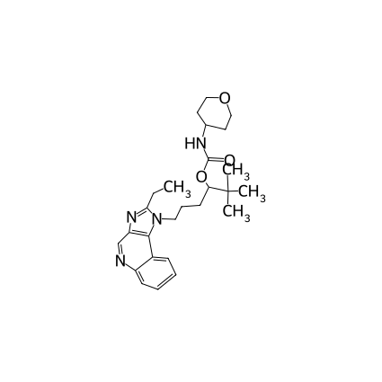 CCc1nc2cnc3ccccc3c2n1CCCC(OC(=O)NC1CCOCC1)C(C)(C)C